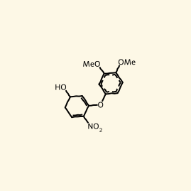 COc1ccc(OC2=CC(O)CC=C2[N+](=O)[O-])cc1OC